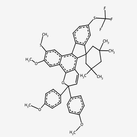 COc1ccc(C2(c3ccc(OC)cc3)C=Cc3c4c(c5cc(SC)c(OC)cc5c3O2)-c2ccc(SC(F)(F)F)cc2C42CC(C)(C)CC(C)(C)C2)cc1